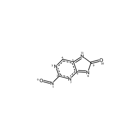 O=Nc1ncc2c(n1)=NC(=O)N=2